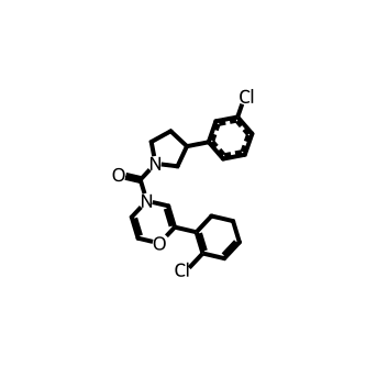 O=C(N1C=COC(C2=C(Cl)C=CCC2)=C1)N1CCC(c2cccc(Cl)c2)C1